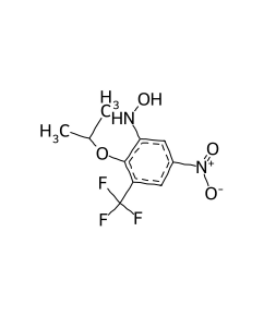 CC(C)Oc1c(NO)cc([N+](=O)[O-])cc1C(F)(F)F